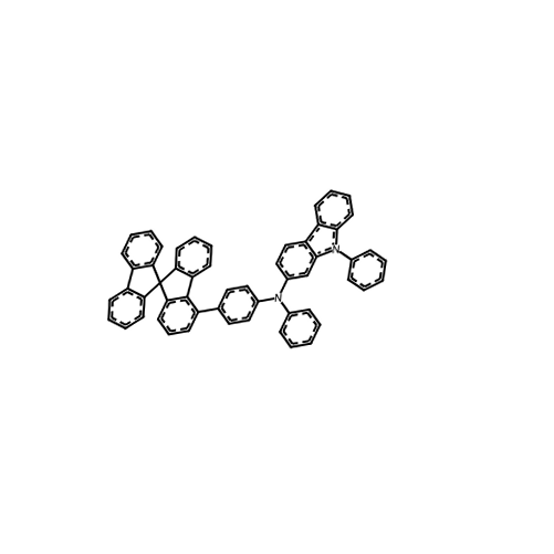 c1ccc(N(c2ccc(-c3cccc4c3-c3ccccc3C43c4ccccc4-c4ccccc43)cc2)c2ccc3c4ccccc4n(-c4ccccc4)c3c2)cc1